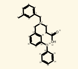 Cc1cccc(CN(CCC(=O)O)Cc2cccc(Oc3ccccc3)c2)c1